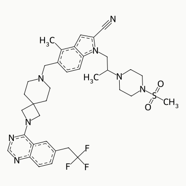 Cc1c(CN2CCC3(CC2)CN(c2ncnc4ccc(CC(F)(F)F)cc24)C3)ccc2c1cc(C#N)n2CC(C)N1CCN(S(C)(=O)=O)CC1